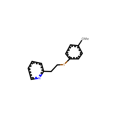 COc1ccc(SCCc2ccccn2)cc1